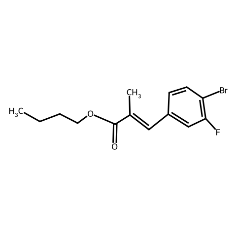 CCCCOC(=O)/C(C)=C/c1ccc(Br)c(F)c1